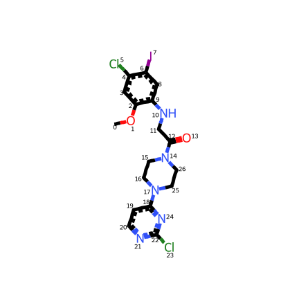 COc1cc(Cl)c(I)cc1NCC(=O)N1CCN(c2ccnc(Cl)n2)CC1